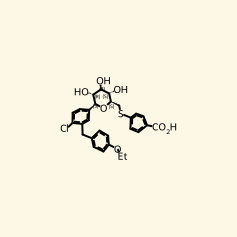 CCOc1ccc(Cc2cc([C@@H]3O[C@H](CSc4ccc(C(=O)O)cc4)[C@@H](O)[C@H](O)[C@H]3O)ccc2Cl)cc1